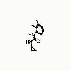 Cc1cccc(NC(=O)NC2CC2)c1C